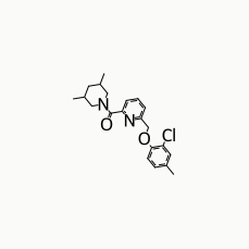 Cc1ccc(OCc2cccc(C(=O)N3CC(C)CC(C)C3)n2)c(Cl)c1